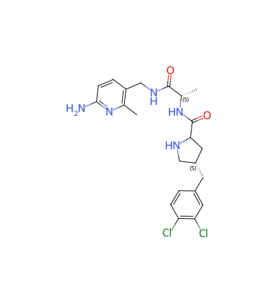 Cc1nc(N)ccc1CNC(=O)[C@H](C)NC(=O)C1C[C@H](Cc2ccc(Cl)c(Cl)c2)CN1